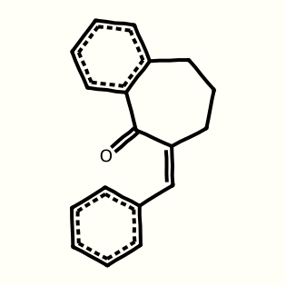 O=C1C(=Cc2ccccc2)CCCc2ccccc21